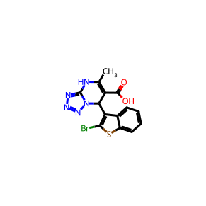 CC1=C(C(=O)O)C(c2c(Br)sc3ccccc23)n2nnnc2N1